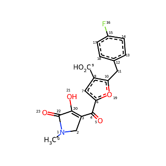 CN1CC(C(=O)c2cc(C(=O)O)c(Cc3ccc(F)cc3)o2)=C(O)C1=O